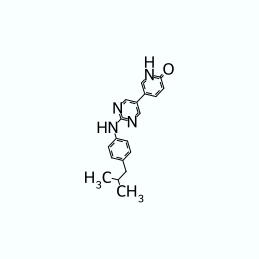 CC(C)Cc1ccc(Nc2ncc(-c3ccc(=O)[nH]c3)cn2)cc1